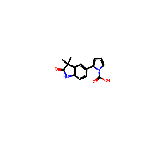 CC1(C)C(=O)Nc2ccc(-c3cccn3C(=O)O)cc21